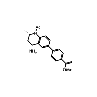 C=C(OC)c1ccc(-c2ccc3c(c2)[C@H](N)C[C@H](C)N3C(C)=O)cc1